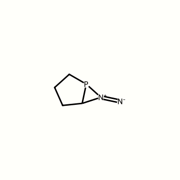 [N-]=[N+]1C2CCCP21